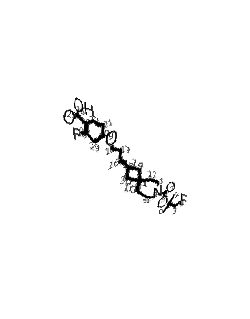 CC(C)(CF)OC(=O)N1CCC2(CC1)CC(CCCOc1ccc(C(=O)O)c(F)c1)C2